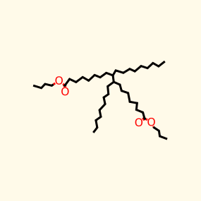 CCCCCCCCCC(CCCCCCCC(=O)OCCCC)C(CCCCCCCCC)CCCCCCCC(=O)OCCCC